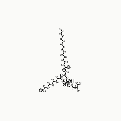 CCCCCCCCCCCCCCCC(=O)OCC(COP(=O)(O)OCCN(C)CC)OC(=O)CCCCCCCC=O